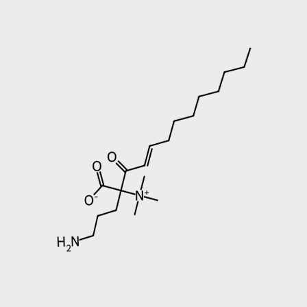 CCCCCCCCC=CC(=O)C(CCCN)(C(=O)[O-])[N+](C)(C)C